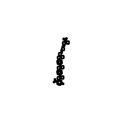 C=C(C)C(=O)OCCOCCOC(=O)Oc1ccc(C(=O)Oc2ccc(C(=O)OC3CC(C)CCC3C(C)C)cc2)cc1